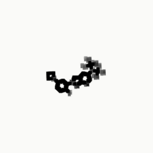 [2H]C([2H])([2H])N(c1cnc2nn(-c3cc(N4CCC4)ccc3F)cc2c1)C([2H])([2H])[2H]